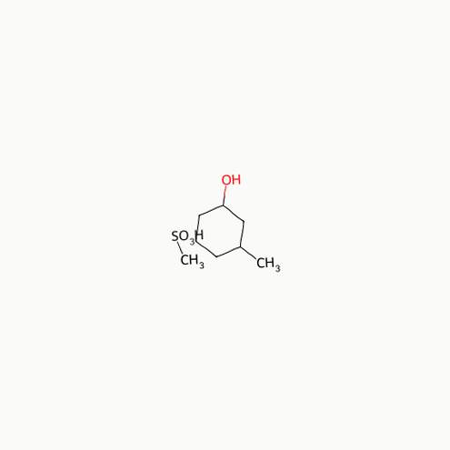 CC1CCCC(O)C1.CS(=O)(=O)O